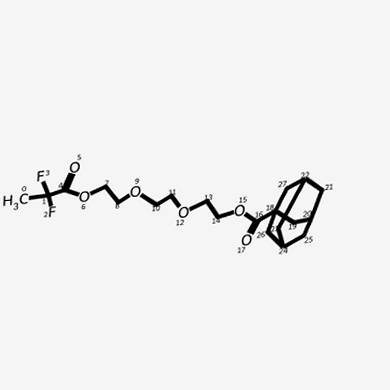 CC(F)(F)C(=O)OCCOCCOCCOC(=O)C12CC3CC(CC(C3)C1)C2